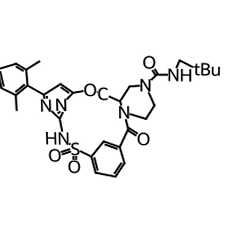 Cc1cccc(C)c1-c1cc2nc(n1)NS(=O)(=O)c1cccc(c1)C(=O)N1CCN(C(=O)NCC(C)(C)C)CC1CO2